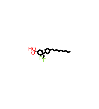 CCCCCCCCCC1CCC([C@]2(CC(F)F)CC[C@@H](C(=O)O)CC2)CC1